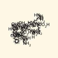 N=C(N)NCCC[C@H](NC(=O)CNC(=O)[C@H](CCCNC(=N)N)NC(=O)[C@H](CS)NC(=O)[C@H](CO)NC(=O)[C@H](CO)NC(=O)CNC(=O)[C@H](Cc1ccccc1)NC(=O)[C@H](CC(=O)O)NC(=O)[C@H](CS)NC(=O)CN)C(=O)N[C@@H](CCCCN)C(=O)O